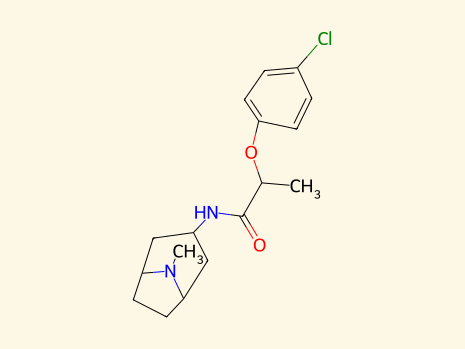 CC(Oc1ccc(Cl)cc1)C(=O)NC1CC2CCC(C1)N2C